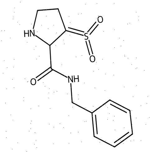 O=C(NCc1ccccc1)C1NCCC1=S(=O)=O